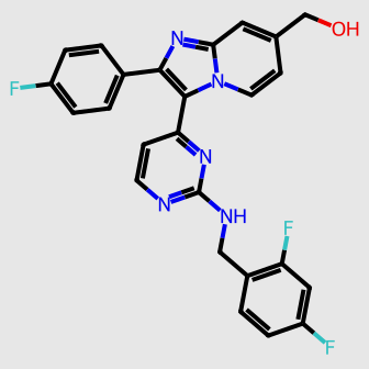 OCc1ccn2c(-c3ccnc(NCc4ccc(F)cc4F)n3)c(-c3ccc(F)cc3)nc2c1